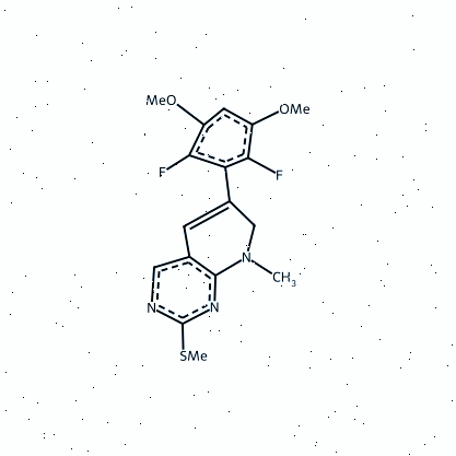 COc1cc(OC)c(F)c(C2=Cc3cnc(SC)nc3N(C)C2)c1F